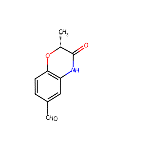 C[C@H]1Oc2ccc(C=O)cc2NC1=O